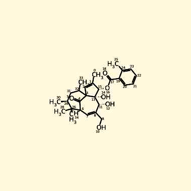 CC1=CC23C(=O)[C@@H](C=C(CO)[C@@H](O)[C@]2(O)[C@H]1OC(=O)c1ccccc1C)C(C)(C)[C@@H](C)CC3C